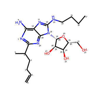 C=CCCC(C)c1nc(N)c2nc(NCCCC)n([C@@H]3O[C@H](CO)[C@@H](O)[C@H]3O)c2n1